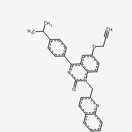 C#CCOc1ccc2c(c1)c(-c1ccc(C(C)C)cc1)nc(=O)n2Cc1ccc2ccccc2n1